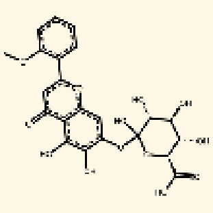 COc1ccccc1-c1cc(=O)c2c(O)c(O)c(OC3(O)O[C@H](C(=O)O)[C@@H](O)[C@H](O)[C@H]3O)cc2o1